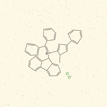 CC1C=C(c2ccccc2)C=[C]1[Zr+2](=[C](c1ccccc1)c1ccccc1)[CH]1c2ccccc2-c2ccccc21.[Cl-].[Cl-]